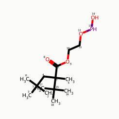 CC(C)(C)CC(C)(C(=O)OCCOPO)C(C)(C)C